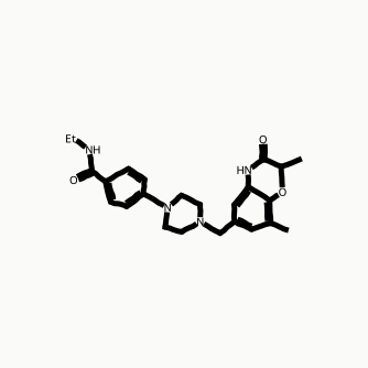 CCNC(=O)c1ccc(N2CCN(Cc3cc(C)c4c(c3)NC(=O)C(C)O4)CC2)cc1